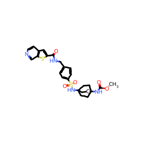 COC(=O)NC12CCC(NS(=O)(=O)c3ccc(CNC(=O)c4cc5ccncc5s4)cc3)(CC1)CC2